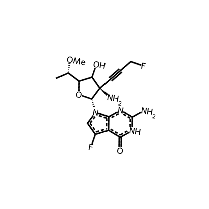 CO[C@@H](C)C1O[C@@H](n2cc(F)c3c(=O)[nH]c(N)nc32)[C@@](N)(C#CCF)C1O